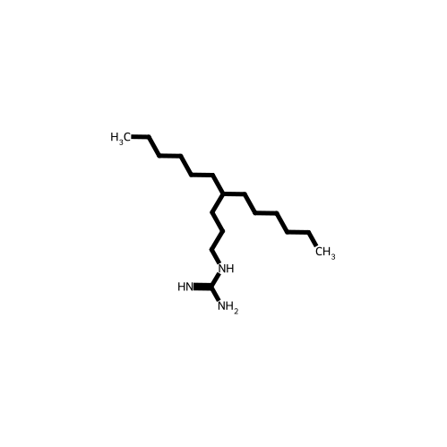 CCCCCCC(CCCCCC)CCCNC(=N)N